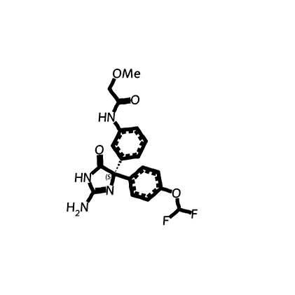 COCC(=O)Nc1cccc([C@]2(c3ccc(OC(F)F)cc3)N=C(N)NC2=O)c1